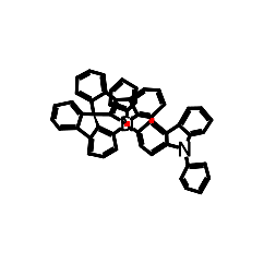 c1ccc(N(c2ccc3c(c2)c2ccccc2n3-c2ccccc2)c2cccc3c2[C@@]2(c4ccccc4-3)c3ccccc3-c3c2sc2ccccc32)cc1